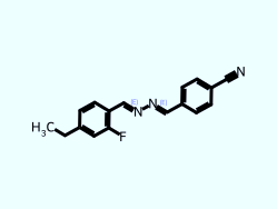 CCc1ccc(/C=N/N=C/c2ccc(C#N)cc2)c(F)c1